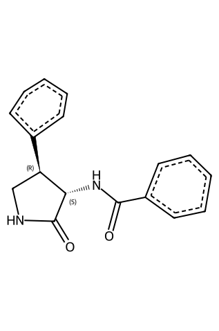 O=C(N[C@@H]1C(=O)NC[C@H]1c1ccccc1)c1ccccc1